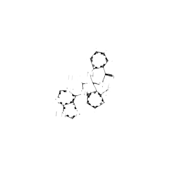 CC(Nc1ncnc2[nH]cnc12)[C@]1(c2ccccc2F)NC(=O)c2ccccc2N1